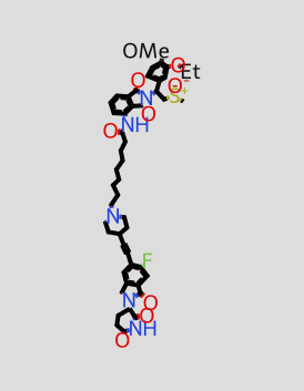 CCOc1cc(C(C[S+](C)[O-])N2C(=O)c3cccc(NC(=O)CCCCCCCCN4CCC(C#Cc5cc6c(cc5F)C(=O)N(C5CCC(=O)NC5=O)C6)CC4)c3C2=O)ccc1OC